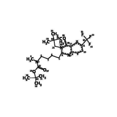 CN(CCCCc1nc2ccc(C(F)(F)F)cc2c(=O)n1CC(C)(C)C)C(=O)OC(C)(C)C